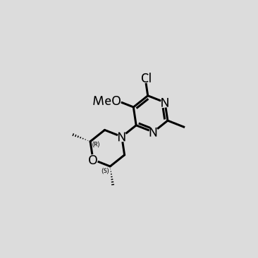 COc1c(Cl)nc(C)nc1N1C[C@@H](C)O[C@@H](C)C1